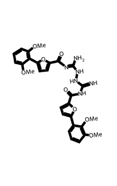 COc1cccc(-c2ccc(C(=O)NC(=N)NNC(N)=NC(=O)c3ccc(-c4c(OC)cccc4OC)o3)o2)c1OC